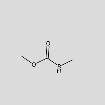 CBC(=O)OC